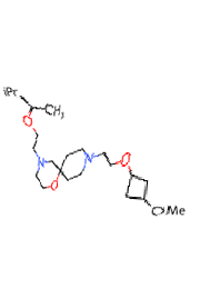 COC1CC(OCCN2CCC3(CC2)CN(CCO[C@H](C)C(C)C)CCO3)C1